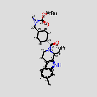 Cc1ccc2c3c([nH]c2c1)C(CC(C)C)N(C(=O)[C@H]1CC[C@H](CN(C)C(=O)OC(C)(C)C)CC1)CC3